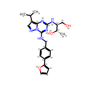 CC(C)c1cnn2c(NCc3ccc(-c4ccco4)cc3)nc(N[C@@H](CO)[C@H](C)O)nc12